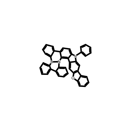 c1ccc(-n2c3cc4c(cc3c3c5c(ccc32)-c2ccccc2B2c3ccccc3-c3ccccc3N25)oc2ccccc24)cc1